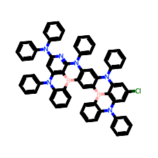 Clc1cc2c3c(c1)N(c1ccccc1)c1cc4c(cc1B3c1ccccc1N2c1ccccc1)B1c2ccccc2N(c2ccccc2)c2cc(N(c3ccccc3)c3ccccc3)nc(c21)N4c1ccccc1